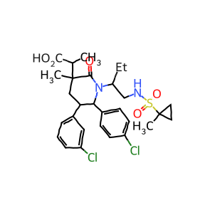 CCC(CNS(=O)(=O)C1(C)CC1)N1C(=O)C(C)(C(C)C(=O)O)CC(c2cccc(Cl)c2)C1c1ccc(Cl)cc1